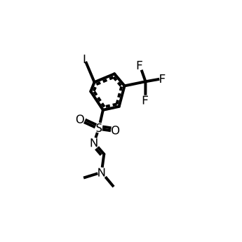 CN(C)C=NS(=O)(=O)c1cc(I)cc(C(F)(F)F)c1